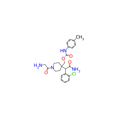 Cc1ccc(NC(=O)OCC2(C(C(N)=O)c3ccccc3Cl)CCN(C(=O)CN)CC2)cc1